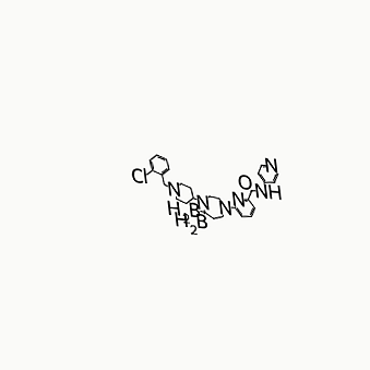 BC1(B)CCN(c2cccc(C(=O)Nc3ccncc3)n2)CCN1C1CCN(Cc2ccccc2Cl)CC1